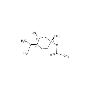 CC(=O)O[C@]1(C)CC[C@@H](C(C)C)[C@H](O)C1